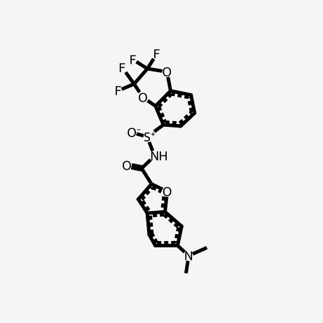 CN(C)c1ccc2cc(C(=O)N[S+]([O-])c3cccc4c3OC(F)(F)C(F)(F)O4)oc2c1